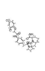 NC(=O)C1CCSC2CC3(CCCN3C(=O)Cc3ccc(NC(=O)COc4ccc(Cl)cc4Cl)cc3)C(=O)N21